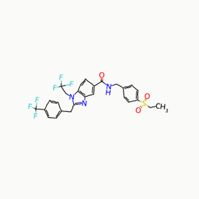 CCS(=O)(=O)c1ccc(CNC(=O)c2ccc3c(c2)nc(Cc2ccc(C(F)(F)F)cc2)n3CC(F)(F)F)cc1